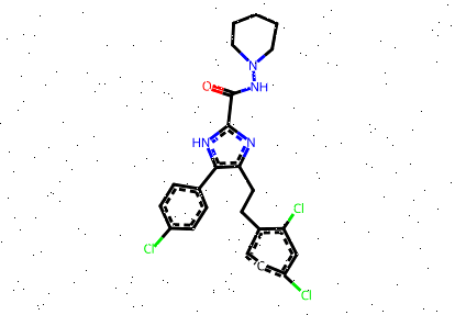 O=C(NN1CCCCC1)c1nc(CCc2ccc(Cl)cc2Cl)c(-c2ccc(Cl)cc2)[nH]1